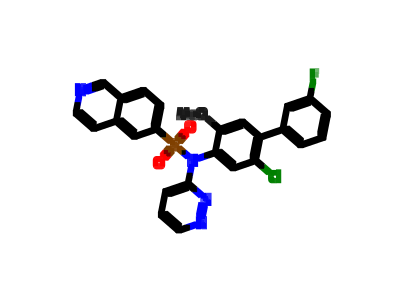 COc1cc(-c2cccc(F)c2)c(Cl)cc1N(c1cccnn1)S(=O)(=O)c1ccc2cnccc2c1